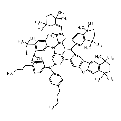 CCCCc1ccc(N(c2ccc(CCCC)cc2)c2cc3c4c(c2)N(c2cc5c(cc2C)C(C)(C)CCC5(C)C)c2c(sc5cc6c(cc25)C(C)(C)CCC6(C)C)B4N(c2ccc4c(c2)C(C)(C)CCC4(C)C)c2cc4c(cc2-3)oc2cc3c(cc24)C(C)(C)CCC3(C)C)cc1